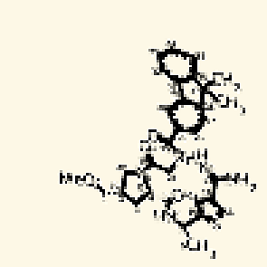 COC[C@H]1C[C@@H](C(=O)N[C@H](C)c2cc(C(=N)N)cs2)N(C(=O)CNC(=O)c2ccc3c(c2)-c2ccccc2C3(C)C)C1